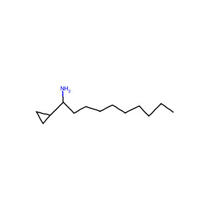 CCCCCCCCCC(N)C1CC1